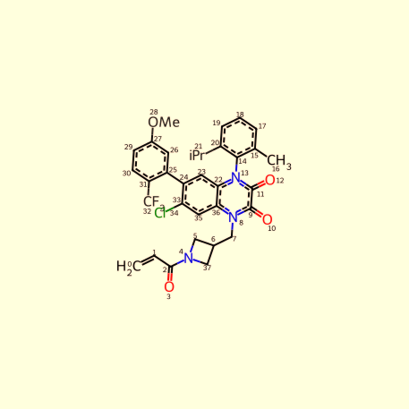 C=CC(=O)N1CC(Cn2c(=O)c(=O)n(-c3c(C)cccc3C(C)C)c3cc(-c4cc(OC)ccc4C(F)(F)F)c(Cl)cc32)C1